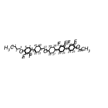 CCCCOc1ccc(C2=CCC(COC3CCC(c4ccc(-c5ccc(OCC)c(F)c5F)c(F)c4F)CC3)CC2)c(F)c1F